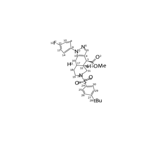 COC(=O)[C@@H]1c2cnn(-c3ccc(F)cc3)c2C[C@@H]2CCN(S(=O)(=O)c3ccc(C(C)(C)C)cc3)C[C@H]21